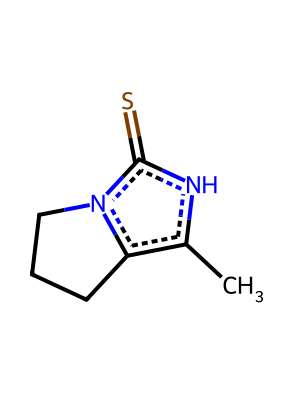 Cc1[nH]c(=S)n2c1CCC2